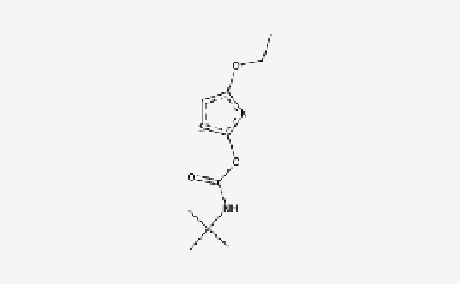 CCOc1csc(OC(=O)NC(C)(C)C)n1